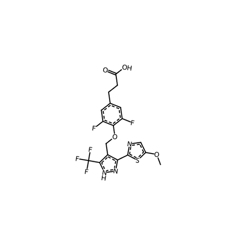 COc1cnc(-c2n[nH]c(C(F)(F)F)c2COc2c(F)cc(CCC(=O)O)cc2F)s1